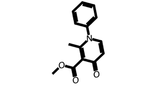 COC(=O)c1c(C)n(-c2ccccc2)ccc1=O